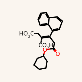 O=C(O)CC(C(=O)O)=C(CC(=O)OC1CCCCC1)c1cccc2ccccc12